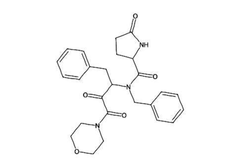 O=C1CCC(C(=O)N(Cc2ccccc2)C(Cc2ccccc2)C(=O)C(=O)N2CCOCC2)N1